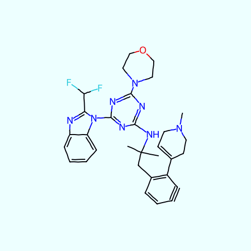 CN1CC=C(c2c#cccc2CC(C)(C)Nc2nc(N3CCOCC3)nc(-n3c(C(F)F)nc4ccccc43)n2)CC1